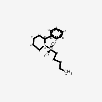 CCCCCS(=O)(=O)N1CCCCC1c1ccccc1